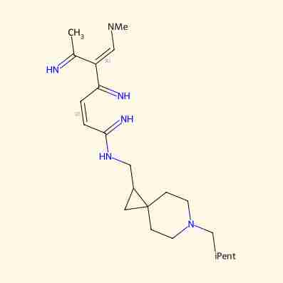 CCCC(C)CN1CCC2(CC1)CC2CNC(=N)/C=C\C(=N)/C(=C/NC)C(C)=N